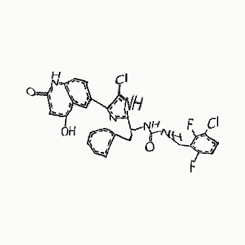 O=C(NCc1c(F)ccc(Cl)c1F)N[C@@H](Cc1ccccc1)c1nc(-c2ccc3[nH]c(=O)cc(O)c3c2)c(Cl)[nH]1